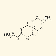 CC1CCC2(CC1)CCC(CC(=O)O)CC2